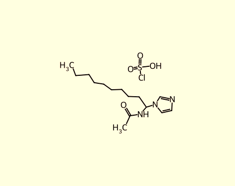 CCCCCCCCCC(NC(C)=O)n1ccnc1.O=S(=O)(O)Cl